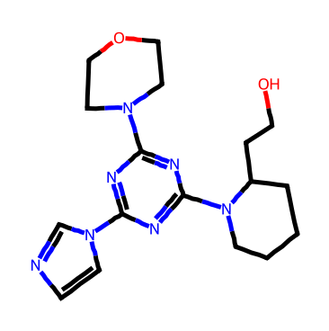 OCCC1CCCCN1c1nc(N2CCOCC2)nc(-n2ccnc2)n1